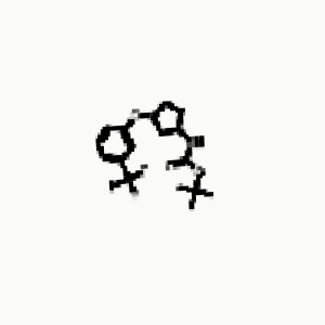 CC(C)(C)OC(=O)NC1CCC(Oc2cccc(C(F)(F)F)c2)C1